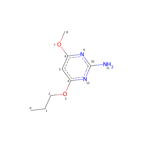 CCCOc1cc(OC)nc(N)n1